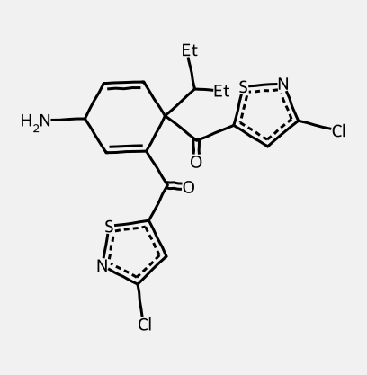 CCC(CC)C1(C(=O)c2cc(Cl)ns2)C=CC(N)C=C1C(=O)c1cc(Cl)ns1